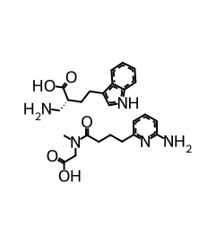 CN(CC(=O)O)C(=O)CCCc1cccc(N)n1.NC[C@@H](CCc1c[nH]c2ccccc12)C(=O)O